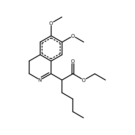 CCCCC(C(=O)OCC)C1=NCCc2cc(OC)c(OC)cc21